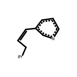 CC(C)C/C=C\c1cccnc1